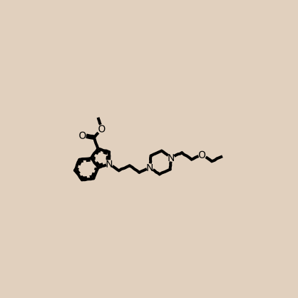 CCOCCN1CCN(CCCn2cc(C(=O)OC)c3ccccc32)CC1